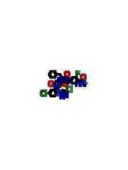 CNC(=O)c1ccc(NC(=O)C(Cc2ccccc2)N2CC(=O)N(c3cc(Cl)ccc3-n3cc(Cl)nn3)CC2=O)cc1F